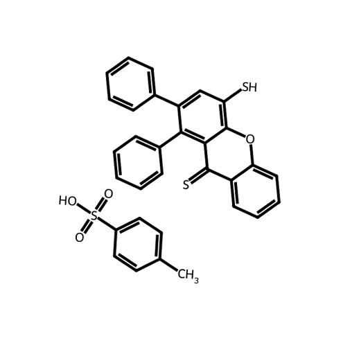 Cc1ccc(S(=O)(=O)O)cc1.S=c1c2ccccc2oc2c(S)cc(-c3ccccc3)c(-c3ccccc3)c12